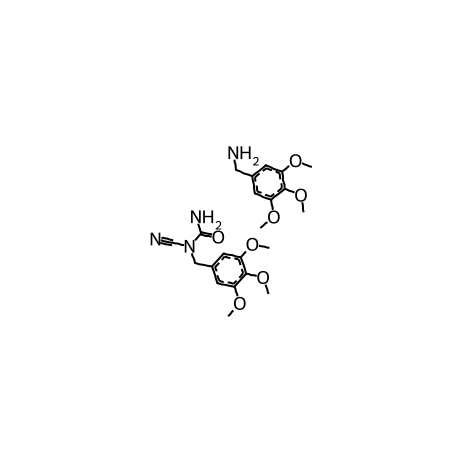 COc1cc(CN(C#N)C(N)=O)cc(OC)c1OC.COc1cc(CN)cc(OC)c1OC